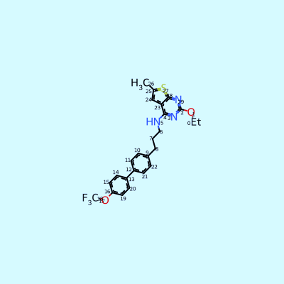 CCOc1nc(NCCCc2ccc(-c3ccc(OC(F)(F)F)cc3)cc2)c2cc(C)sc2n1